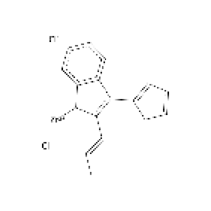 CC=CC1=C(C2=CC=CC2)c2ccccc2[CH]1[Zr+2].[Cl-].[Cl-]